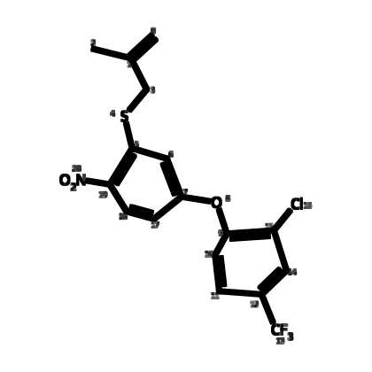 C=C(C)CSc1cc(Oc2ccc(C(F)(F)F)cc2Cl)ccc1[N+](=O)[O-]